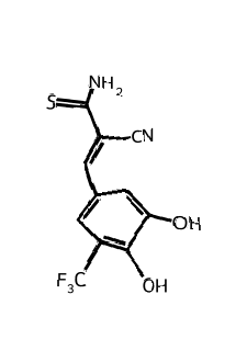 N#C/C(=C\c1cc(O)c(O)c(C(F)(F)F)c1)C(N)=S